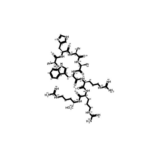 CC(C)[C@H](N)C(=O)N[C@@H](Cc1c[nH]cn1)C(=O)N[C@H](C(=O)N[C@H](C(=O)N[C@@H](Cc1c[nH]c2ccccc12)C(=O)N[C@@H](CCCNC(=N)N)C(=O)N[C@@H](CCCNC(=N)N)C(=O)N[C@@H](CCCNC(=N)N)C(=O)O)C(C)C)C(C)C